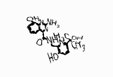 CC(C)(O)c1ccc(O)c(CNC(=O)c2nc(N)nc3c(O)cccc23)n1